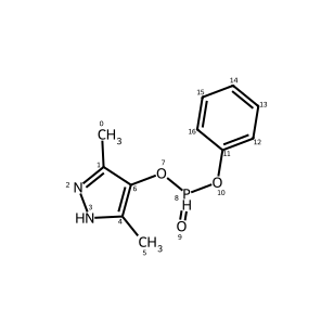 Cc1n[nH]c(C)c1O[PH](=O)Oc1ccccc1